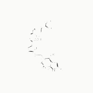 Nc1cc2c(O)n(CCc3ccc(C(=O)N[C@@H](CCC(=O)O)C(=O)O)o3)cnc-2n1